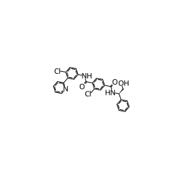 O=C(N[C@@H](CO)c1ccccc1)c1ccc(C(=O)Nc2ccc(Cl)c(-c3ccccn3)c2)c(Cl)c1